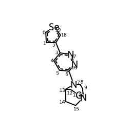 c1cc(-c2ccc(N3CCN4CCC3CC4)nn2)c[se]1